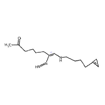 CC(=O)CCCC/C(=C/NCCCCC1=CC1)N=N